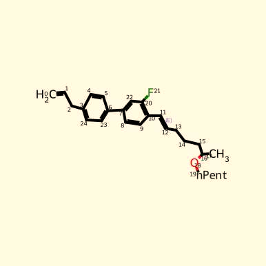 C=CCc1ccc(-c2ccc(/C=C/CCCC(C)OCCCCC)c(F)c2)cc1